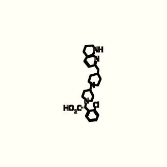 O=C(O)[C@@H](c1ccccc1Cl)N1CCC(N2CCC(Cc3ccc4c(n3)NCCC4)CC2)CC1